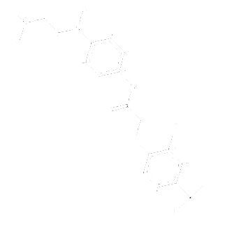 CN(C)CCN(C)c1ccc(NC(=O)COc2ccc(C(F)(F)F)cc2Cl)cc1